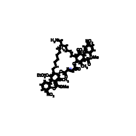 CCOC(=O)C1=C(CSCCCCN)N(OC(=O)/C=C/C(=O)ON2C(C)=C(C(=O)OC)C(c3cccc([N+](=O)[O-])c3)C(C(=O)OCC)=C2CSCCCCN)C(C)=C(C(=O)OC)C1c1cccc([N+](=O)[O-])c1